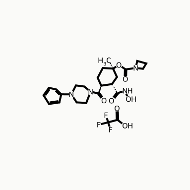 C[C@@]1(OC(=O)N2CCC2)CC[C@H](C(=O)N2CCN(c3ccccc3)CC2)[C@@H](C(=O)NO)C1.O=C(O)C(F)(F)F